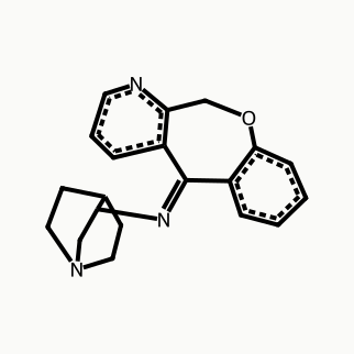 c1ccc2c(c1)OCc1ncccc1/C2=N\C1CN2CCC1CC2